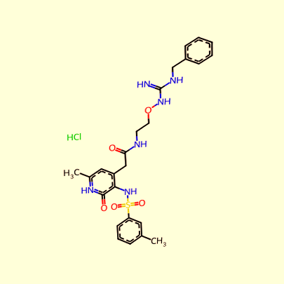 Cc1cccc(S(=O)(=O)Nc2c(CC(=O)NCCONC(=N)NCc3ccccc3)cc(C)[nH]c2=O)c1.Cl